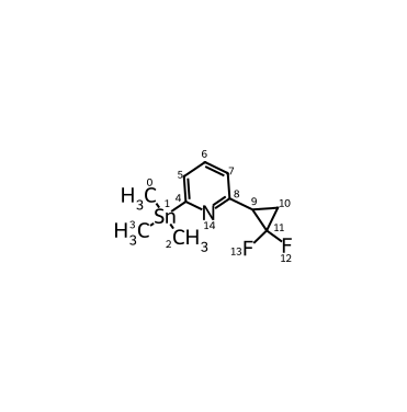 [CH3][Sn]([CH3])([CH3])[c]1cccc(C2CC2(F)F)n1